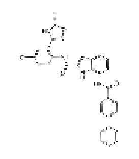 O=C(Nc1cccc2cc(C(=O)Nc3ccc(Cl)cc3-c3noc(=O)[nH]3)[nH]c12)c1ccc(-c2ccccc2)cc1